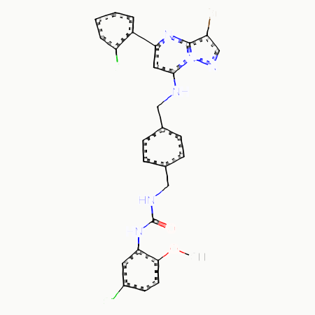 COc1ccc(Cl)cc1NC(=O)NCc1ccc(CNc2cc(-c3ccccc3Cl)nc3c(Br)cnn23)cc1